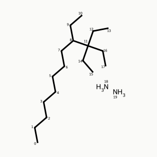 CCCCCCCCC(CC)C(CC)(CC)CC.N.N